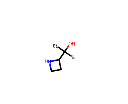 CCC(O)(CC)C1CCN1